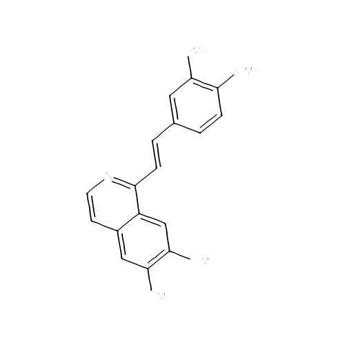 COc1ccc(/C=C/c2nccc3cc(OC)c(OC)cc23)cc1OC